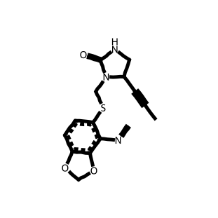 C=Nc1c(SCN2C(=O)NCC2C#CC)ccc2c1OCO2